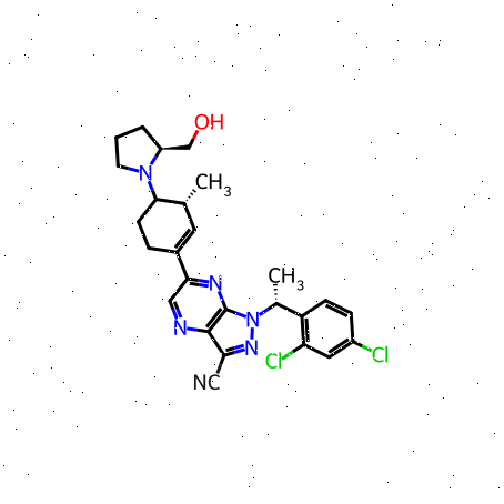 C[C@@H]1C=C(c2cnc3c(C#N)nn([C@H](C)c4ccc(Cl)cc4Cl)c3n2)CCC1N1CCC[C@H]1CO